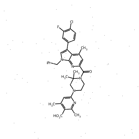 Cc1cc(N2CCN(C(=O)c3cc(C)c4c(-c5ccc(Cl)c(F)c5)cn(CC(C)C)c4n3)C(C)(C)C2)nc(C)c1C(=O)O